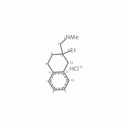 CCC1(CNC)CCc2ccccc2C1.Cl